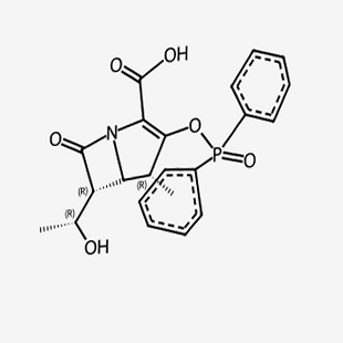 C[C@H]1C(OP(=O)(c2ccccc2)c2ccccc2)=C(C(=O)O)N2C(=O)[C@@H]([C@@H](C)O)C12